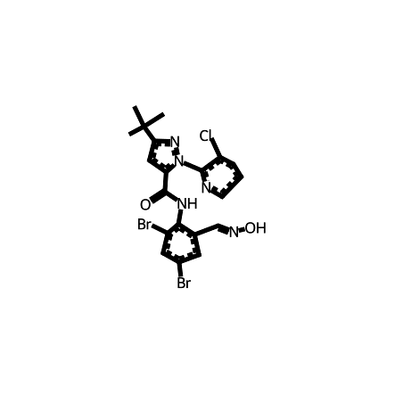 CC(C)(C)c1cc(C(=O)Nc2c(Br)cc(Br)cc2C=NO)n(-c2ncccc2Cl)n1